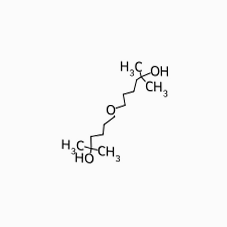 CC(C)(O)CCCCOCCCCC(C)(C)O